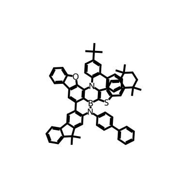 CC(C)(C)c1ccc(N2c3c(sc4cc5c(cc34)C(C)(C)CCC5(C)C)B3c4c(cc5c(oc6ccccc65)c42)-c2cc4c(cc2N3c2ccc(-c3ccccc3)cc2)C(C)(C)c2ccccc2-4)c(-c2ccccc2)c1